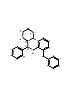 c1ccc(Cc2ccccc2O[C@@H](c2ccccc2)[C@@H]2CNCCO2)cc1